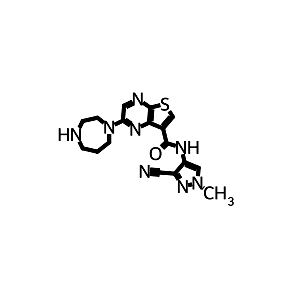 Cn1cc(NC(=O)c2csc3ncc(N4CCCNCC4)nc23)c(C#N)n1